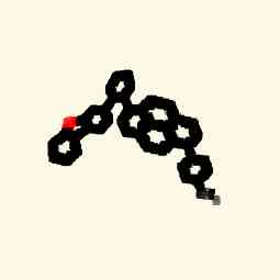 Cc1ccc(-c2ccc3ccc4c(-c5ccccc5-c5ccc6c(c5)oc5ccccc56)ccc5ccc2c3c54)cc1